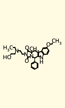 CCOc1ccc2[nH]c3c(c2c1)C[C@@]1(C)C(=O)N(CCN(CC)CCO)C(=O)N1[C@@H]3c1ccccc1